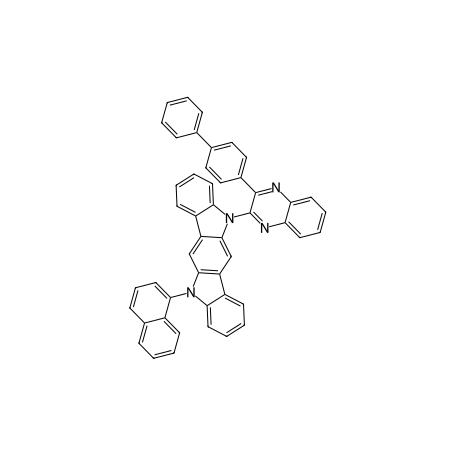 c1ccc(-c2ccc(-c3nc4ccccc4nc3-n3c4ccccc4c4cc5c(cc43)c3ccccc3n5-c3cccc4ccccc34)cc2)cc1